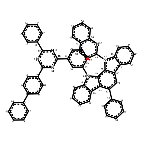 c1ccc(-c2ccc(-c3nc(-c4ccccc4)nc(-c4cccc(-n5c6ccccc6c6c(-c7ccccc7)cc7c8ccccc8n(-c8ccc9ccccc9n8)c7c65)c4)n3)cc2)cc1